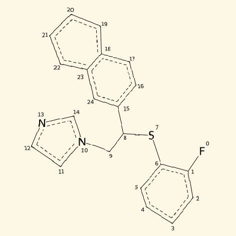 Fc1ccccc1SC(Cn1ccnc1)c1ccc2ccccc2c1